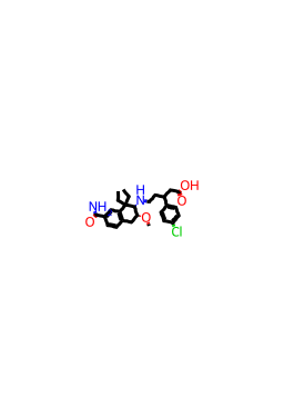 CCC1(CC)c2cc(C(N)=O)ccc2C[C@@H](OC)[C@H]1NCCC(CC(=O)O)c1ccc(Cl)cc1